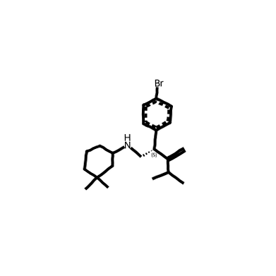 C=C(C(C)C)[C@H](CNC1CCCC(C)(C)C1)c1ccc(Br)cc1